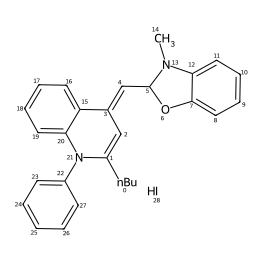 CCCCC1=CC(=CC2Oc3ccccc3N2C)c2ccccc2N1c1ccccc1.I